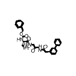 CC(C)C[C@H](NC(=O)OCc1ccccc1)C(=O)NCC(=O)CNC(=O)Cc1cccc(-c2ccccc2)c1